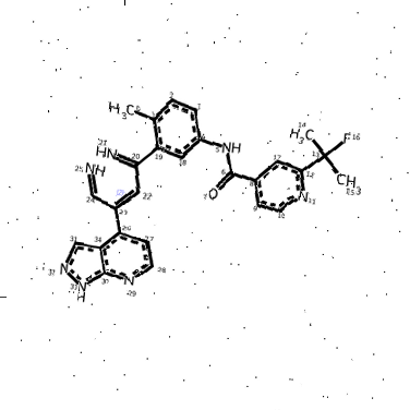 Cc1ccc(NC(=O)c2ccnc(C(C)(C)F)c2)cc1C(=N)/C=C(\C=N)c1ccnc2[nH]ncc12